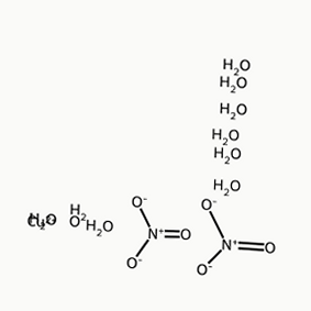 O.O.O.O.O.O.O.O.O.O=[N+]([O-])[O-].O=[N+]([O-])[O-].[Cu+2]